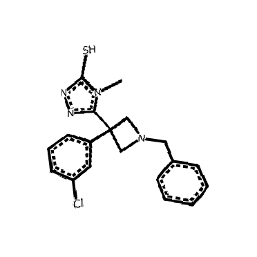 Cn1c(S)nnc1C1(c2cccc(Cl)c2)CN(Cc2ccccc2)C1